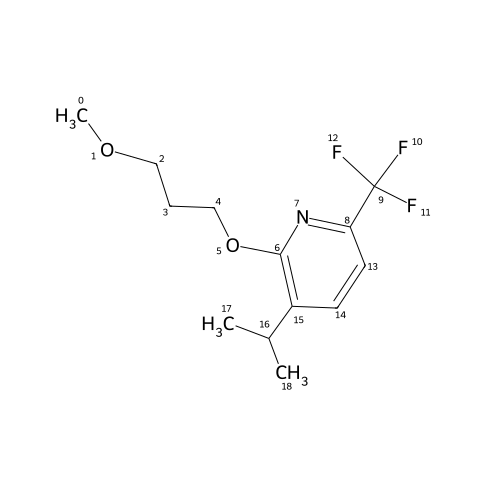 COCCCOc1nc(C(F)(F)F)ccc1C(C)C